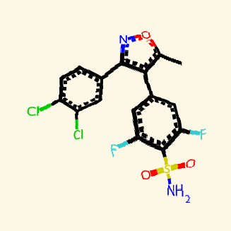 Cc1onc(-c2ccc(Cl)c(Cl)c2)c1-c1cc(F)c(S(N)(=O)=O)c(F)c1